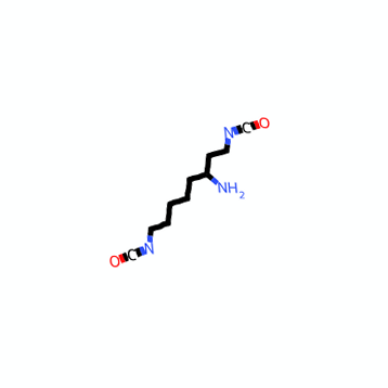 NC(CCCCCN=C=O)CCN=C=O